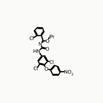 CC(C)OC(=NC(=O)Nc1cc(Cl)c(Oc2ccc([N+](=O)[O-])cc2)c(Cl)c1)c1ccccc1Cl